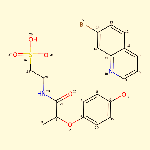 CC(Oc1ccc(Oc2ccc3ccc(Br)cc3n2)cc1)C(=O)NCCS(=O)(=O)O